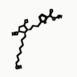 CC(C)OC(=O)c1ccc(CCC[C@@H]2[C@@H](CCCCCCCCO)[C@H](O)C[C@H]2Cl)s1